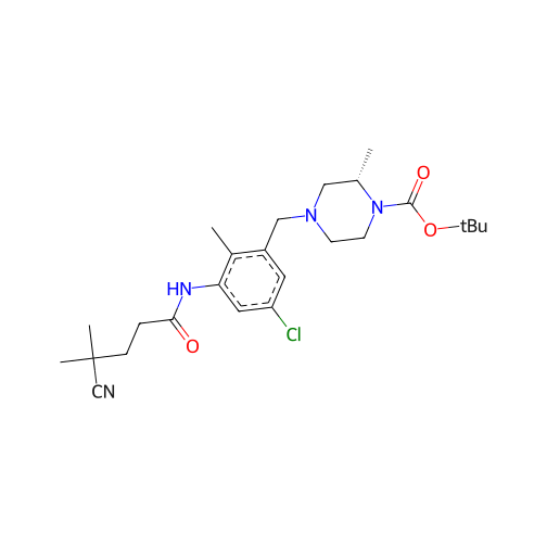 Cc1c(CN2CCN(C(=O)OC(C)(C)C)[C@@H](C)C2)cc(Cl)cc1NC(=O)CCC(C)(C)C#N